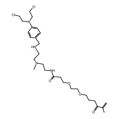 C=C(C)C(=O)CCCOCCOCCC(=O)NCCN(C)CCNCc1ccc(N(CCCl)CCCl)cc1